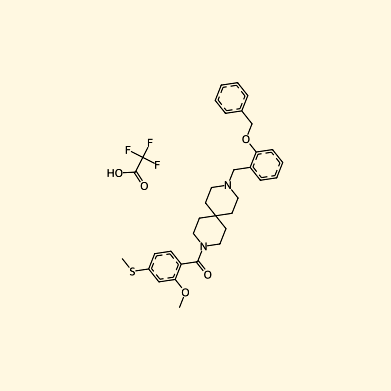 COc1cc(SC)ccc1C(=O)N1CCC2(CCN(Cc3ccccc3OCc3ccccc3)CC2)CC1.O=C(O)C(F)(F)F